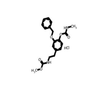 CNC(=O)Oc1ccc(CCNC(=O)OC)cc1OCc1ccccc1.Cl